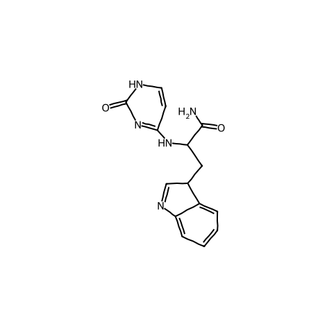 NC(=O)C(CC1C=Nc2ccccc21)Nc1cc[nH]c(=O)n1